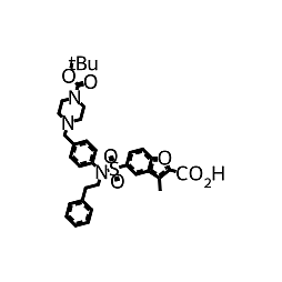 Cc1c(C(=O)O)oc2ccc(S(=O)(=O)N(CCc3ccccc3)c3ccc(CN4CCN(C(=O)OC(C)(C)C)CC4)cc3)cc12